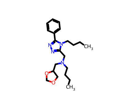 CCCCN(Cc1nnc(-c2ccccc2)n1CCCC)CC1COCO1